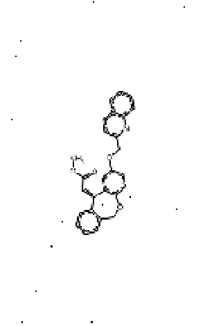 COC(=O)C=C1c2ccccc2COc2ccc(OCc3ccc4ccccc4n3)cc21